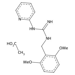 CC(=O)O.COc1cccc(OC)c1CNC(=N)Nc1ccccn1